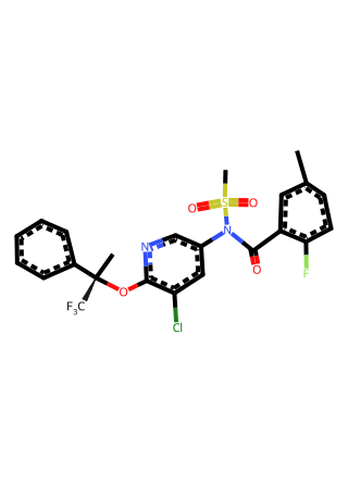 Cc1ccc(F)c(C(=O)N(c2cnc(O[C@@](C)(c3ccccc3)C(F)(F)F)c(Cl)c2)S(C)(=O)=O)c1